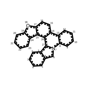 c1ccc2c(c1)cn1c3ccccc3c3ccc4oc5ccccc5c4c3c21